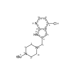 CC(C)(C)N1CCN(Cc2cc3c(Cl)ccnc3[nH]2)CC1